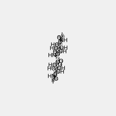 N=C(CCC(=O)OC(=O)C(O)C(O)C(O)C(O)CONC(=O)CI)OC(=O)C(O)C(O)C(O)C(O)CONC(=O)CI